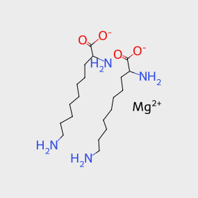 NCCCCCCCCC(N)C(=O)[O-].NCCCCCCCCC(N)C(=O)[O-].[Mg+2]